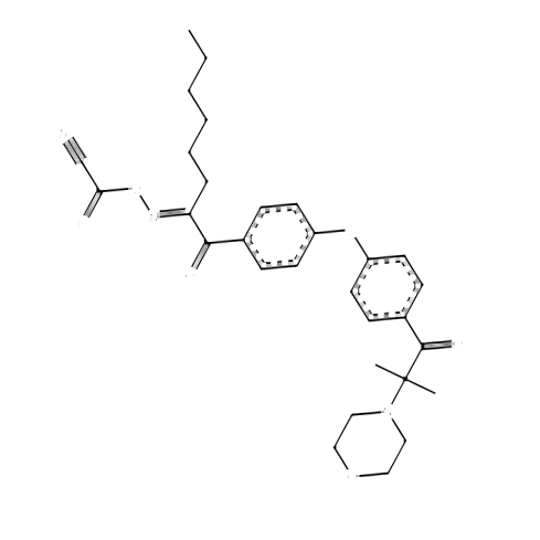 CCCCCC/C(=N\OC(=O)C#N)C(=O)c1ccc(Sc2ccc(C(=O)C(C)(C)N3CCOCC3)cc2)cc1